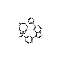 O=C(c1ccnc(-c2cnn3ccc(-c4cccs4)nc23)c1)N1C2CCNCC1CC2